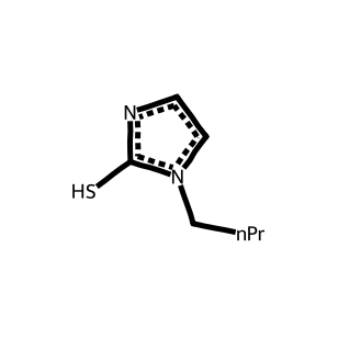 CCCCn1ccnc1S